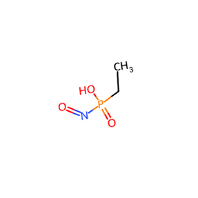 CCP(=O)(O)N=O